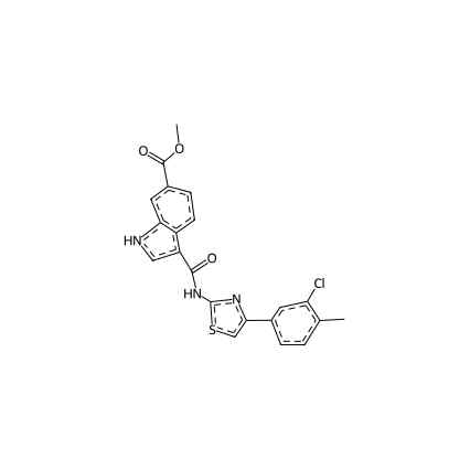 COC(=O)c1ccc2c(C(=O)Nc3nc(-c4ccc(C)c(Cl)c4)cs3)c[nH]c2c1